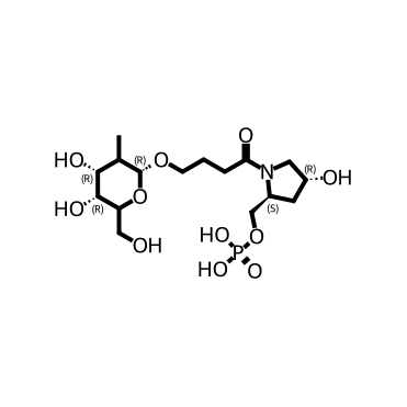 CC1[C@H](OCCCC(=O)N2C[C@H](O)C[C@H]2COP(=O)(O)O)OC(CO)[C@H](O)[C@@H]1O